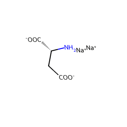 N[C@H](CC(=O)[O-])C(=O)[O-].[Na+].[Na+]